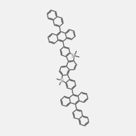 C[Si]1(C)c2cc(-c3c4ccccc4c(-c4ccc5ccccc5c4)c4ccccc34)ccc2-c2c1ccc1c3c(ccc21)[Si](C)(C)c1cc(-c2c4ccccc4c(-c4ccc5ccccc5c4)c4ccccc24)ccc1-3